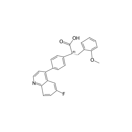 COc1ccccc1C[C@@H](C(=O)O)c1ccc(-c2ccnc3ccc(F)cc23)cc1